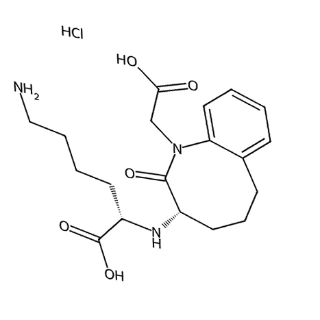 Cl.NCCCC[C@H](N[C@H]1CCCc2ccccc2N(CC(=O)O)C1=O)C(=O)O